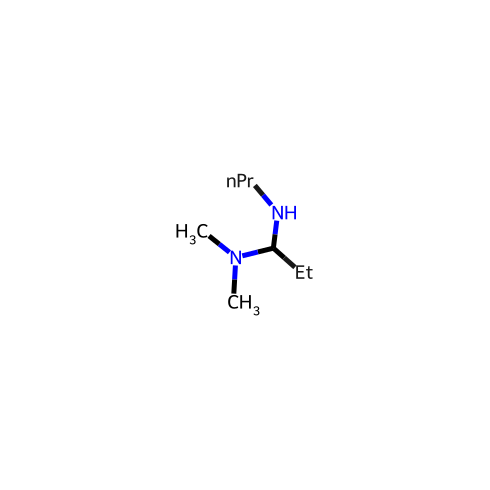 [CH2]CCNC(CC)N(C)C